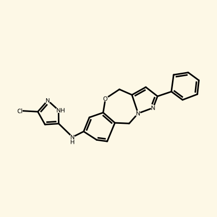 Clc1cc(Nc2ccc3c(c2)OCc2cc(-c4ccccc4)nn2C3)[nH]n1